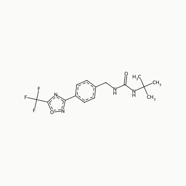 CC(C)(C)NC(=O)NCc1ccc(-c2noc(C(F)(F)F)n2)cc1